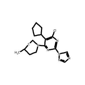 CC1CCN(c2nc(-n3cncn3)nc(Cl)c2C2CCCC2)CC1